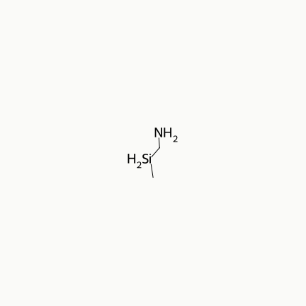 C[SiH2]CN